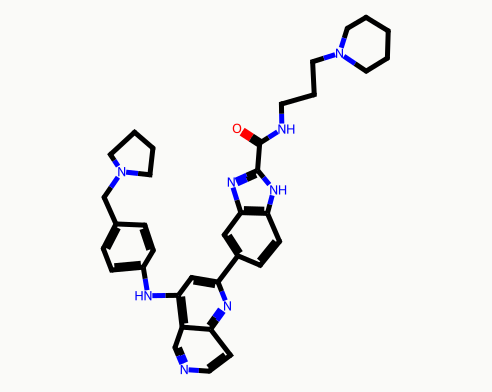 O=C(NCCCN1CCCCC1)c1nc2cc(-c3cc(Nc4ccc(CN5CCCC5)cc4)c4cnccc4n3)ccc2[nH]1